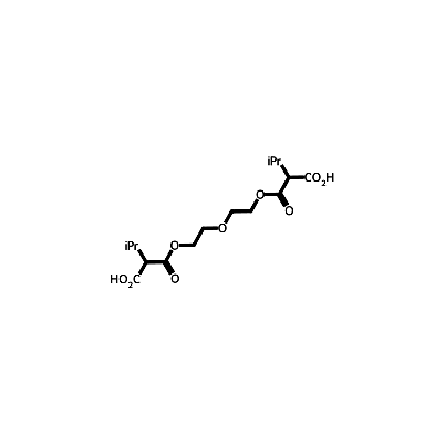 CC(C)C(C(=O)O)C(=O)OCCOCCOC(=O)C(C(=O)O)C(C)C